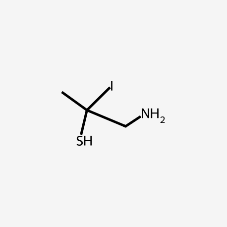 CC(S)(I)CN